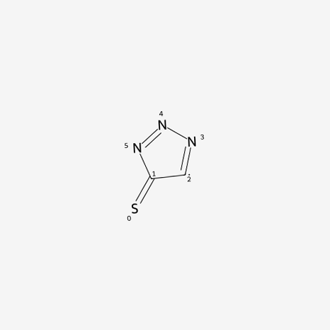 S=C1[C]=NN=N1